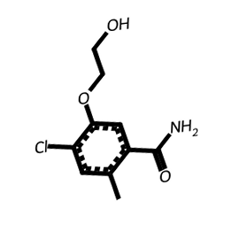 Cc1cc(Cl)c(OCCO)cc1C(N)=O